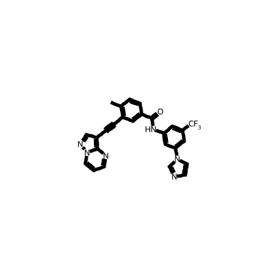 Cc1ccc(C(=O)Nc2cc(-n3ccnc3)cc(C(F)(F)F)c2)cc1C#Cc1cnn2cccnc12